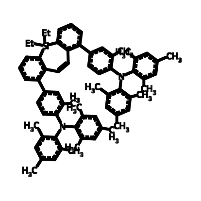 CC[Si]1(CC)c2cccc(-c3ccc(N(c4c(C)cc(C)cc4C)c4c(C)cc(C)cc4C)c(C)c3)c2C=Cc2c(-c3ccc(N(c4c(C)cc(C)cc4C)c4c(C)cc(C)cc4C)c(C)c3)cccc21